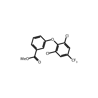 COC(=O)c1cccc(Oc2c(Cl)cc(C(F)(F)F)cc2Cl)c1